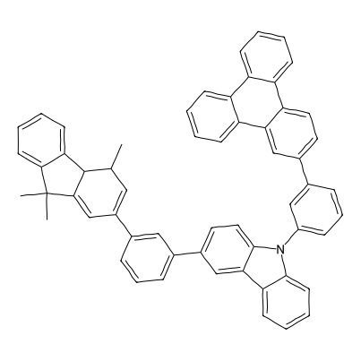 CC1C=C(c2cccc(-c3ccc4c(c3)c3ccccc3n4-c3cccc(-c4ccc5c6ccccc6c6ccccc6c5c4)c3)c2)C=C2C1c1ccccc1C2(C)C